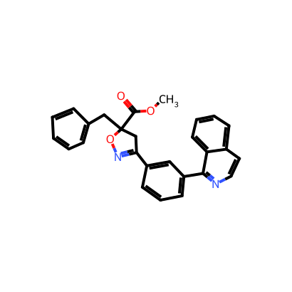 COC(=O)C1(Cc2ccccc2)CC(c2cccc(-c3nccc4ccccc34)c2)=NO1